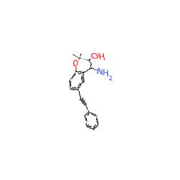 CC1(C)Oc2ccc(C#Cc3ccccc3)cc2C(N)C1O